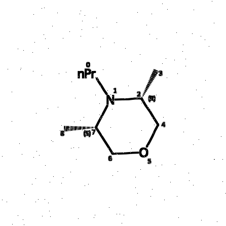 [CH2]CCN1[C@H](C)COC[C@@H]1C